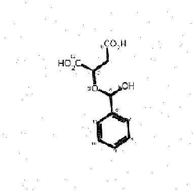 O=C(O)C[C@@H](OC(O)c1ccccc1)C(=O)O